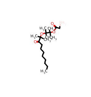 BCC(=O)OC(C)(C)C(C)(C)OC(C)(C)C(=O)CCCCCCCC